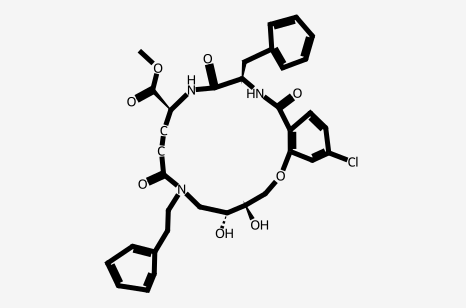 COC(=O)[C@@H]1CCC(=O)N(CCc2ccccc2)C[C@@H](O)[C@H](O)COc2cc(Cl)ccc2C(=O)N[C@H](Cc2ccccc2)C(=O)N1